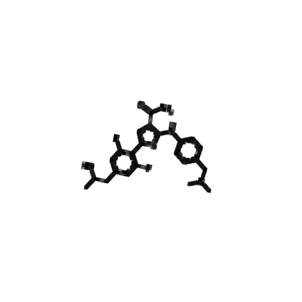 CC(O)Cc1cc(F)c(-c2cc(C(N)=O)c(Nc3ccc(CN(C)C)cc3)s2)c(F)c1